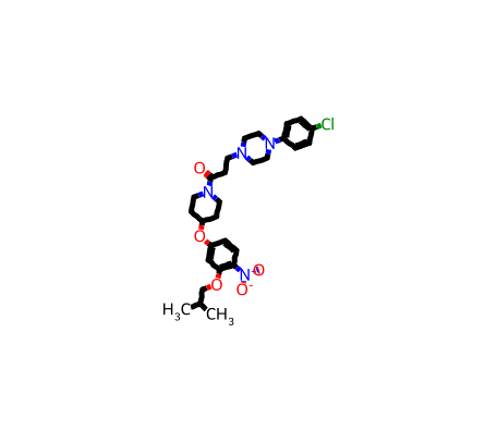 CC(C)COc1cc(OC2CCN(C(=O)CCN3CCN(c4ccc(Cl)cc4)CC3)CC2)ccc1[N+](=O)[O-]